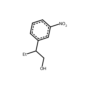 CCC(CO)c1cccc([N+](=O)[O-])c1